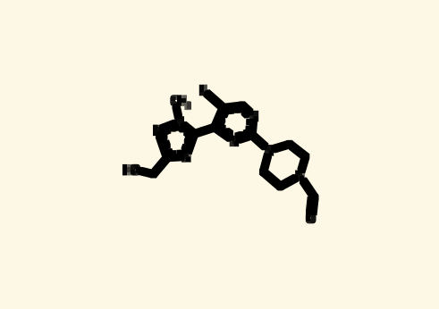 Cn1nc(CO)nc1-c1nc(N2CCN(C=O)CC2)ncc1F